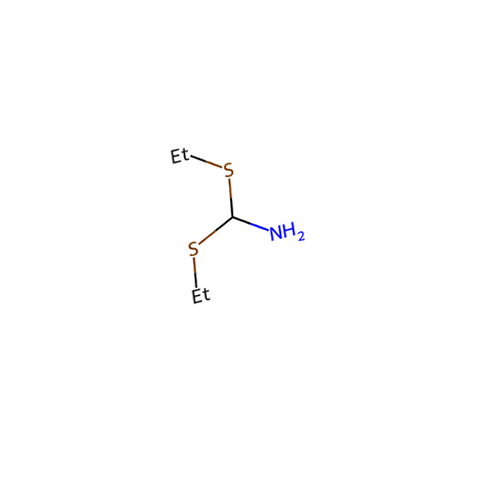 CCSC(N)SCC